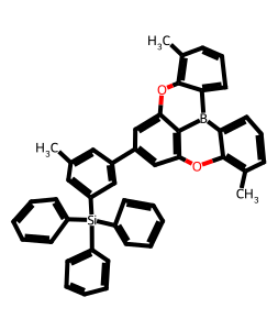 Cc1cc(-c2cc3c4c(c2)Oc2c(C)cccc2B4c2cccc(C)c2O3)cc([Si](c2ccccc2)(c2ccccc2)c2ccccc2)c1